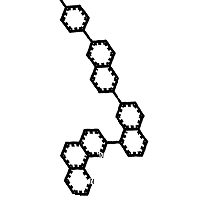 N#Cc1ccc(-c2ccc3cc(-c4ccc5cccc(-c6ccc7ccc8cccnc8c7n6)c5c4)ccc3c2)cc1